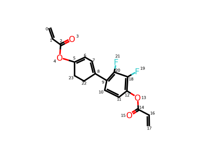 C=CC(=O)OC1=CC=C(c2ccc(OC(=O)C=C)c(F)c2F)CC1